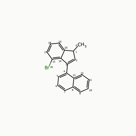 CC1C=C(c2cccc3ccccc23)c2c(Br)cccc21